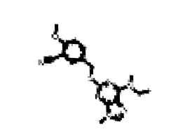 CCN(C)c1nc(SCc2ccc(OC)c(C#N)c2)nc2c1ncn2C